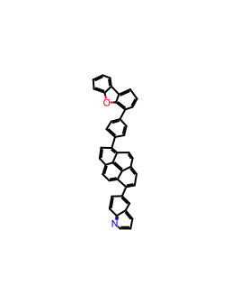 c1cnc2ccc(-c3ccc4ccc5c(-c6ccc(-c7cccc8c7oc7ccccc78)cc6)ccc6ccc3c4c65)cc2c1